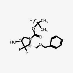 CC(C)(C)OC(=O)N1C[C@H](O)C(F)(F)[C@H]1COCc1ccccc1